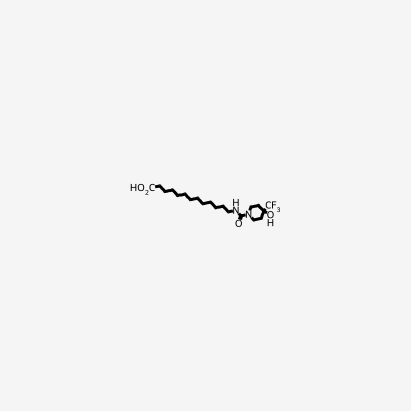 O=C(O)CCCCCCCCCCCCNC(=O)N1CCC(O)(C(F)(F)F)CC1